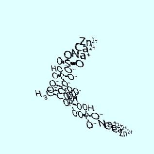 CC(=O)O.O=C([O-])[O-].O=C([O-])[O-].O=P([O-])([O-])O.O=P([O-])([O-])O.O=P([O-])([O-])O.O=S(=O)([O-])[O-].[Ca+2].[Ca+2].[Ca+2].[Na+].[Na+].[Zn+2].[Zn+2]